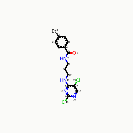 CCc1ccc(C(=O)NCCCNc2nc(Cl)ncc2Cl)cc1